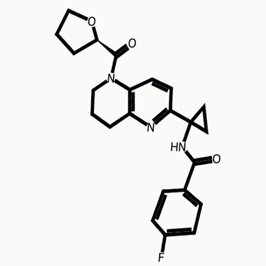 O=C(NC1(c2ccc3c(n2)CCCN3C(=O)[C@H]2CCCO2)CC1)c1ccc(F)cc1